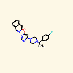 CC(c1ccc(F)cc1)N1CCN(c2cc(Oc3cc4ccccc4cn3)ncn2)CC1